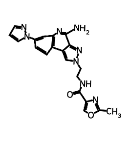 Cc1nc(C(=O)NCCn2cc3c(n2)c(N)nc2cc(-n4cccn4)ccc23)co1